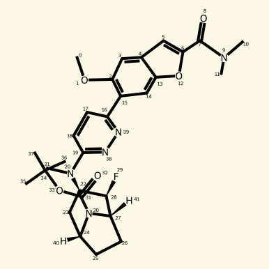 COc1cc2cc(C(=O)N(C)C)oc2cc1-c1ccc(N(C)[C@@H]2C[C@H]3CC[C@@H]([C@@H]2F)N3C(=O)OC(C)(C)C)nn1